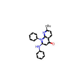 CCCCc1ccc2c(=O)cc(Nc3ccccc3)n(-c3ccccc3)c2n1